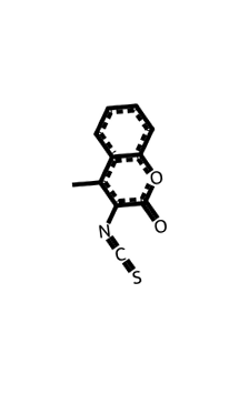 Cc1c(N=C=S)c(=O)oc2ccccc12